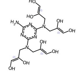 Nc1nc(N(C/C(O)=C/O)C/C(O)=C/O)nc(N(C/C(O)=C/O)C/C(O)=C/O)n1